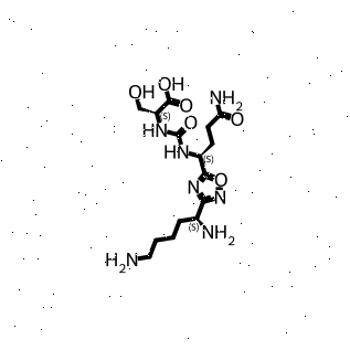 NCCCC[C@H](N)c1noc([C@H](CCC(N)=O)NC(=O)N[C@@H](CO)C(=O)O)n1